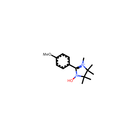 COc1ccc(C2=[N+](C)C(C)(C)C(C)(C)N2O)cc1